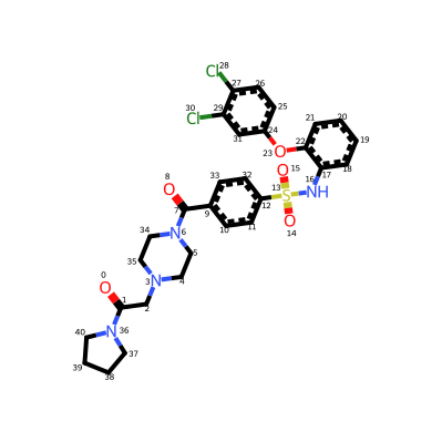 O=C(CN1CCN(C(=O)c2ccc(S(=O)(=O)Nc3ccccc3Oc3ccc(Cl)c(Cl)c3)cc2)CC1)N1CCCC1